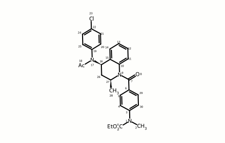 CCOC(=O)N(C)c1ccc(C(=O)N2c3ccccc3[C@H](N(C(C)=O)c3ccc(Cl)cc3)C[C@@H]2C)cc1